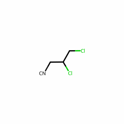 [C-]#[N+]CC(Cl)CCl